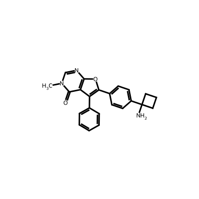 Cn1cnc2oc(-c3ccc(C4(N)CCC4)cc3)c(-c3ccccc3)c2c1=O